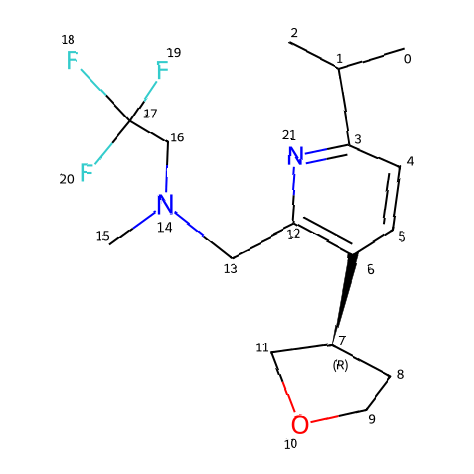 CC(C)c1ccc([C@H]2CCOC2)c(CN(C)CC(F)(F)F)n1